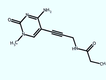 CCC(=O)NCC#Cc1cn(C)c(=O)nc1N